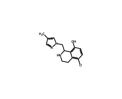 Cc1cnn(CC2NCCc3c(Cl)ccc(O)c32)c1